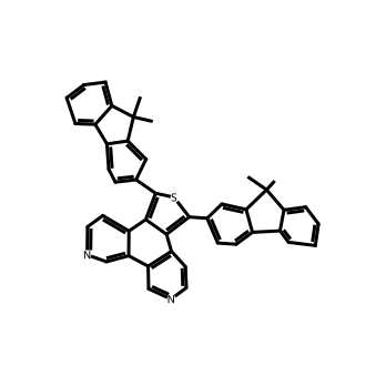 CC1(C)c2ccccc2-c2ccc(-c3sc(-c4ccc5c(c4)C(C)(C)c4ccccc4-5)c4c5ccncc5c5cnccc5c34)cc21